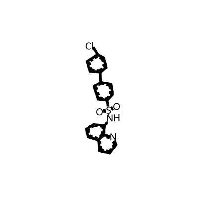 O=S(=O)(Nc1cccc2cccnc12)c1ccc(-c2ccc(Cl)cc2)cc1